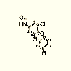 O=CNc1cc(Cl)c(Oc2ccc(Cl)cc2)c(Cl)c1